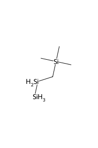 C[Si](C)(C)C[SiH2][SiH3]